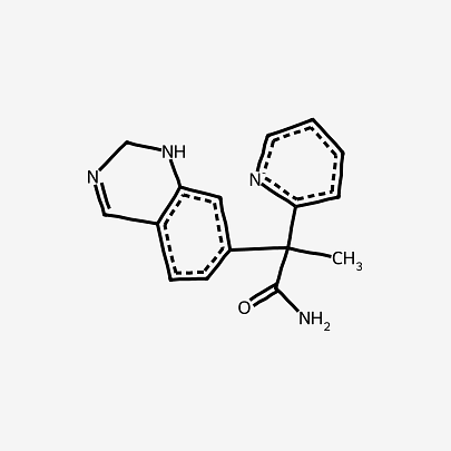 CC(C(N)=O)(c1ccc2c(c1)NCN=C2)c1ccccn1